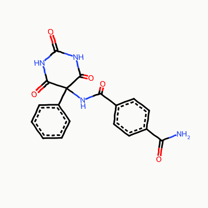 NC(=O)c1ccc(C(=O)NC2(c3ccccc3)C(=O)NC(=O)NC2=O)cc1